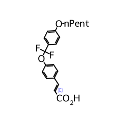 CCCCCOc1ccc(C(F)(F)Oc2ccc(/C=C/C(=O)O)cc2)cc1